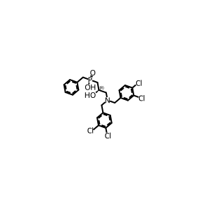 O=P(O)(Cc1ccccc1)C[C@H](O)CN(Cc1ccc(Cl)c(Cl)c1)Cc1ccc(Cl)c(Cl)c1